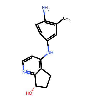 Cc1cc(Nc2ccnc3c2CC[C@@H]3O)ccc1N